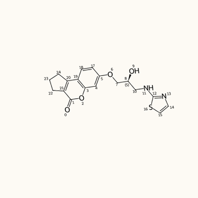 O=c1oc2cc(OC[C@@H](O)CNc3nccs3)ccc2c2c1CCC2